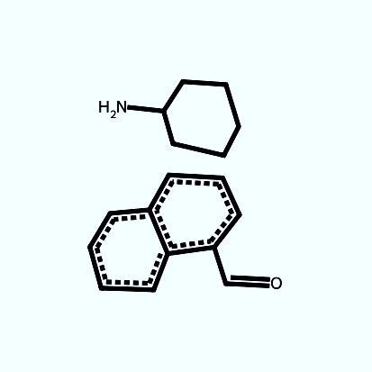 NC1CCCCC1.O=Cc1cccc2ccccc12